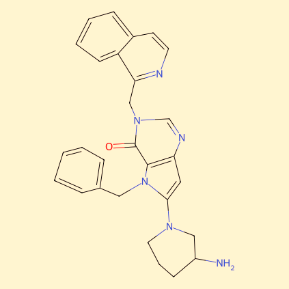 NC1CCCN(c2cc3ncn(Cc4nccc5ccccc45)c(=O)c3n2Cc2ccccc2)C1